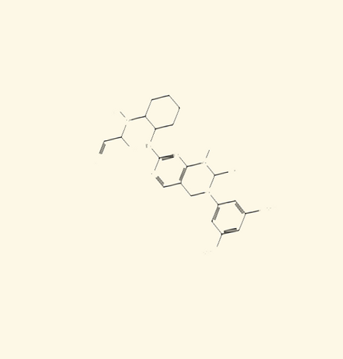 C=CC(O)N(C)C1CCCCC1Nc1ncc2c(n1)N(C)C(O)N(c1cc(OC)cc(OC)c1)C2